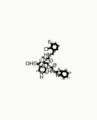 CN(C(=O)NCc1cccc(F)c1Cl)[C@@](CCC=O)(COC(=O)Nc1nc2ccccc2s1)N1CCNCC1